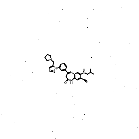 CC(C)CN(C)c1cc2c(cc1C#N)NC(=O)CC(c1cccc(-n3nncc3CN3CCCC3)c1)=N2